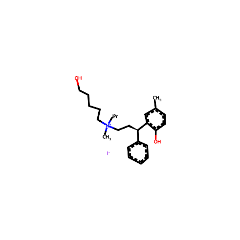 Cc1ccc(O)c([C@H](CC[N+](C)(CCCCCO)C(C)C)c2ccccc2)c1.[I-]